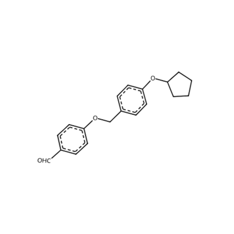 O=Cc1ccc(OCc2ccc(OC3CCCC3)cc2)cc1